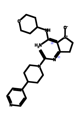 C=C(/N=C1/CC[S+]([O-])/C1=C(/N)NC1CCOCC1)N1CCC(c2ccncc2)CC1